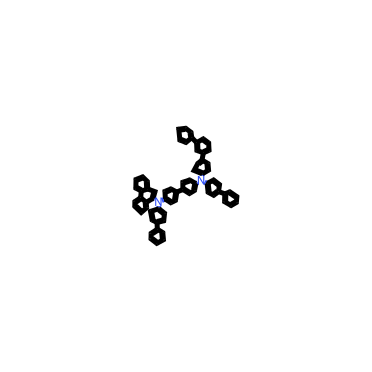 c1ccc(-c2ccc(N(c3ccc(-c4ccc(N(c5ccc(-c6ccccc6)cc5)c5cc6ccccc6c6ccccc56)cc4)cc3)c3ccc(-c4cccc(-c5ccccc5)c4)cc3)cc2)cc1